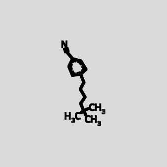 CC(C)(C)CCCCc1ccc(C#N)cc1